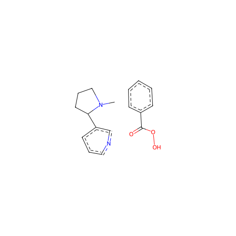 CN1CCCC1c1cccnc1.O=C(OO)c1ccccc1